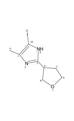 Cc1nc(C2CCOC2)[nH]c1I